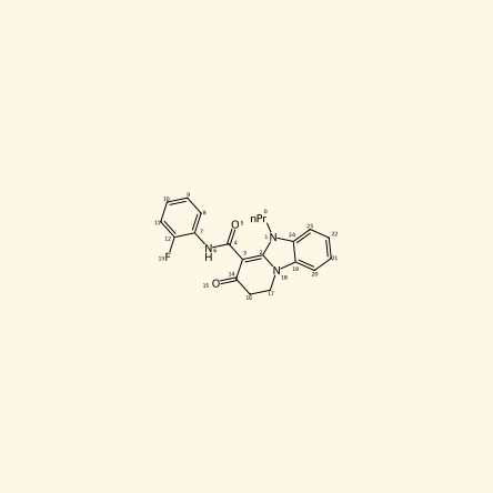 CCCN1C2=C(C(=O)Nc3ccccc3F)C(=O)CCN2c2ccccc21